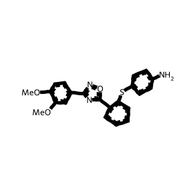 COc1ccc(-c2noc(-c3ccccc3Sc3ccc(N)cc3)n2)cc1OC